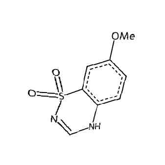 COc1ccc2c(c1)S(=O)(=O)N=CN2